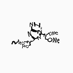 COCN(CO)c1nc(N)nc(N(COC)COC)n1